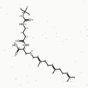 CC(C)=CCC/C(C)=C/CC/C(C)=C/CSCC(NC(=O)CCCNC(=O)OC(C)(C)C)C(=O)O